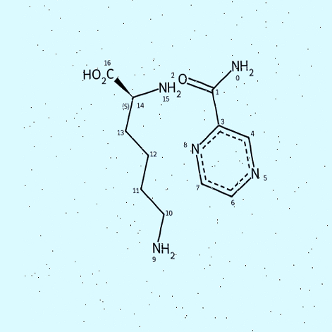 NC(=O)c1cnccn1.NCCCC[C@H](N)C(=O)O